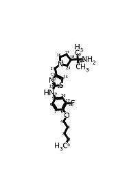 CCCCCOc1ccc(Nc2nc(CN3CCC(C(C)(C)N)C3)cs2)cc1F